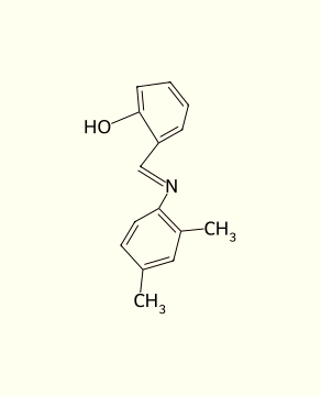 Cc1ccc(/N=C/c2ccccc2O)c(C)c1